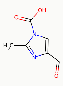 Cc1nc(C=O)cn1C(=O)O